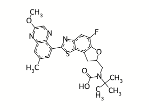 COc1cnc2c(-c3nc4cc(F)c5c(c4s3)CC(CN(C(=O)O)C(C)(C)C)O5)cc(C)cc2n1